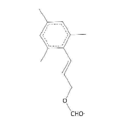 Cc1cc(C)c(C=CCO[C]=O)c(C)c1